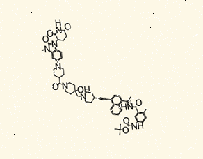 Cc1ccc(NC(=O)OC(C)(C)C)cc1C(=O)N[C@H](C)c1ccc(C#CC2CCN(CC3(O)CCN(C(=O)C4CCN(c5ccc6c(c5)n(C)c(=O)n6C5CCC(=O)NC5=O)CC4)CC3)CC2)c2ccccc12